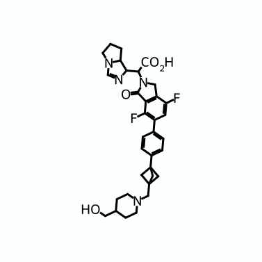 O=C(O)C(C1N=CN2CCCC12)N1Cc2c(F)cc(-c3ccc(C45CC(CN6CCC(CO)CC6)(C4)C5)cc3)c(F)c2C1=O